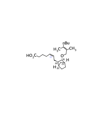 CCCCC(C)=C(C)CO[C@@H]1[C@H]2CC[C@H](C2)[C@H]1C/C=C\CCCC(=O)O